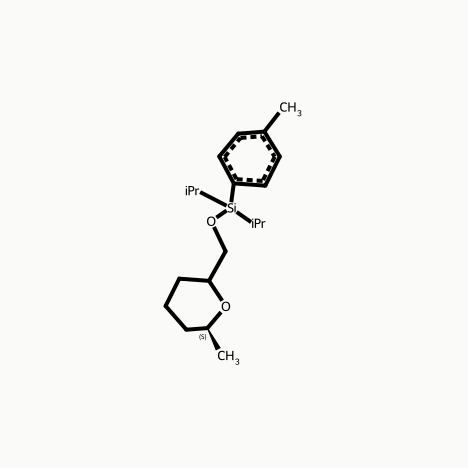 Cc1ccc([Si](OCC2CCC[C@H](C)O2)(C(C)C)C(C)C)cc1